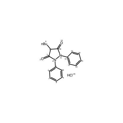 CCCCC1C(=O)N(c2ccccc2)N(c2ccccc2)C1=O.Cl